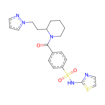 O=C(c1ccc(S(=O)(=O)Nc2nccs2)cc1)N1CCCCC1CCn1cccn1